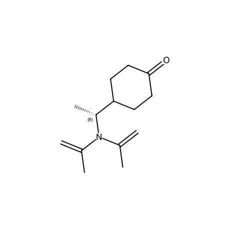 C=C(C)N(C(=C)C)[C@H](C)C1CCC(=O)CC1